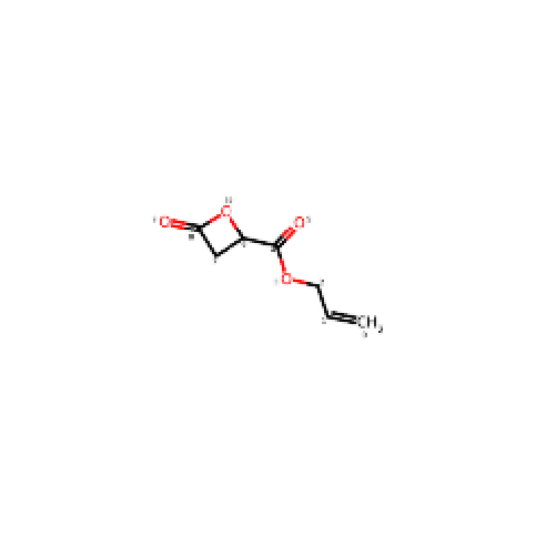 C=CCOC(=O)C1CC(=O)O1